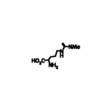 C=C(NC)NCCCC(N)C(=O)O